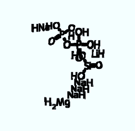 O=P(O)(O)OP(=O)(O)O.O=[Si](O)O.[LiH].[MgH2].[NaH].[NaH].[NaH].[NaH]